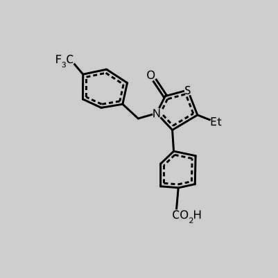 CCc1sc(=O)n(Cc2ccc(C(F)(F)F)cc2)c1-c1ccc(C(=O)O)cc1